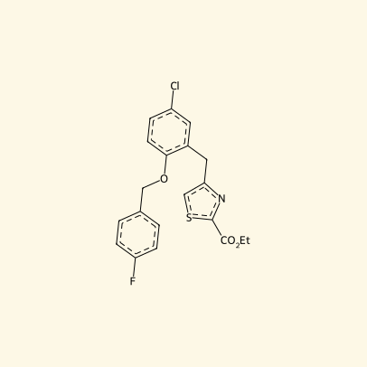 CCOC(=O)c1nc(Cc2cc(Cl)ccc2OCc2ccc(F)cc2)cs1